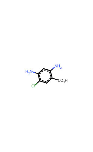 Nc1cc(N)c(C(=O)O)cc1Cl